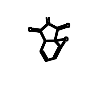 O=C1NC(=O)C23OC2=CC=CC13